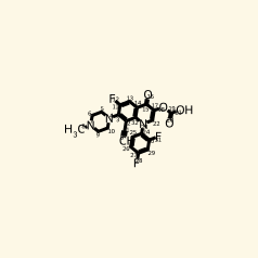 C#Cc1c(N2CCN(C)CC2)c(F)cc2c(=O)c(OC(=O)O)cn(-c3ccc(F)cc3F)c12